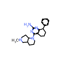 CN1CCC2C(CCCN2c2nc(N)nc3c2CCCC3c2ccccc2)C1